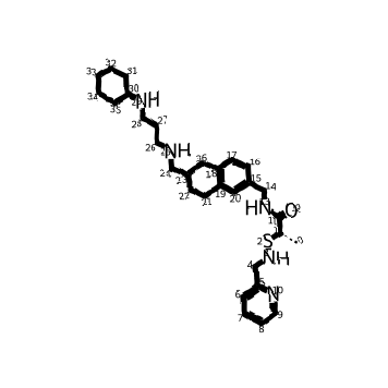 C[C@H](SNCc1ccccn1)C(=O)NCc1ccc2c(c1)CCC(CNCCCNC1CCCCC1)C2